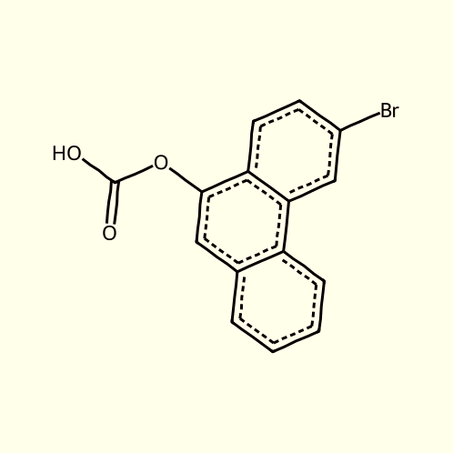 O=C(O)Oc1cc2ccccc2c2cc(Br)ccc12